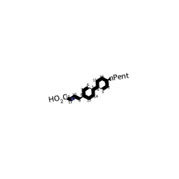 CCCCC[C@H]1CC[C@H]([C@H]2CC[C@H](C/C=C/C(=O)O)CC2)CC1